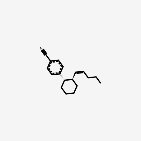 CCC/C=C\[C@H]1CCCC[C@@H]1c1ccc(C#N)cc1